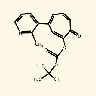 Cc1ncccc1-c1cccc(=O)c(OC(=O)OC(C)(C)C)c1